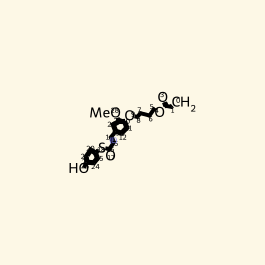 C=CC(=O)OCCCCOc1ccc(/C=C/C(=O)Sc2ccc(O)cc2)cc1OC